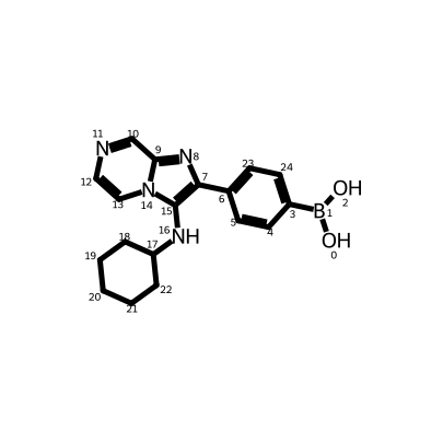 OB(O)c1ccc(-c2nc3cnccn3c2NC2CCCCC2)cc1